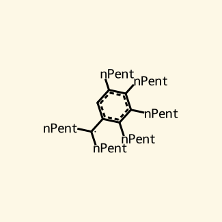 CCCCC[C](CCCCC)c1cc(CCCCC)c(CCCCC)c(CCCCC)c1CCCCC